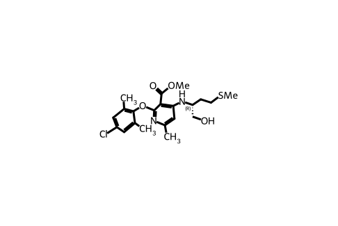 COC(=O)c1c(N[C@@H](CO)CCSC)cc(C)nc1Oc1c(C)cc(Cl)cc1C